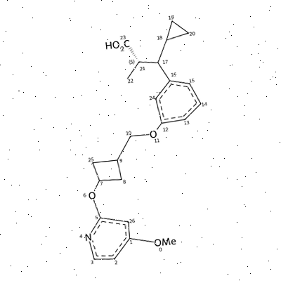 COc1ccnc(OC2CC(COc3cccc(C(C4CC4)[C@H](C)C(=O)O)c3)C2)c1